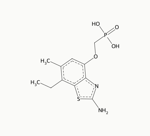 CCc1c(C)cc(OCP(=O)(O)O)c2nc(N)sc12